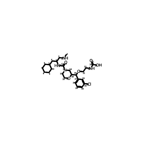 CNCC(CC1CCCCC1)NC(=O)N1CCOC(C(OCCNC(=O)O)c2cccc(Cl)c2)C1